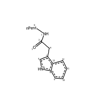 CCCCCNC(=O)Cc1c[nH]c2ccccc12